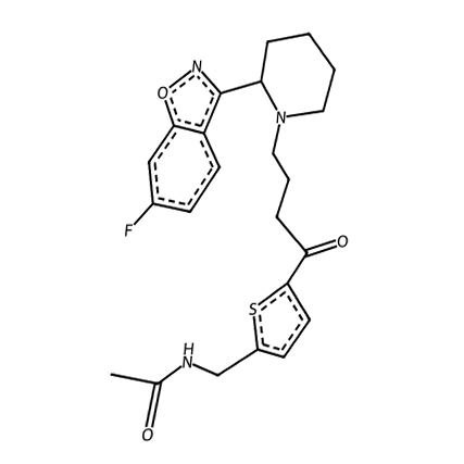 CC(=O)NCc1ccc(C(=O)CCCN2CCCCC2c2noc3cc(F)ccc23)s1